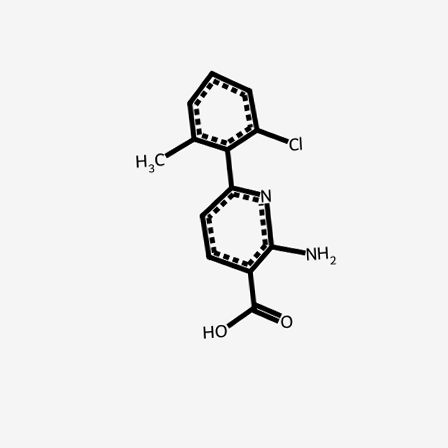 Cc1cccc(Cl)c1-c1ccc(C(=O)O)c(N)n1